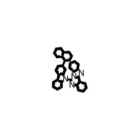 c1ccc2c(-c3ccc4c5ccccc5n(-c5nc6ccccc6c6nc7ccccc7n56)c4c3)cccc2c1